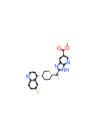 COC(=O)c1cnc2[nH]c([C@H](C)[C@H]3CC[C@@H](c4ccnc5ccc(F)cc54)CC3)nc2c1